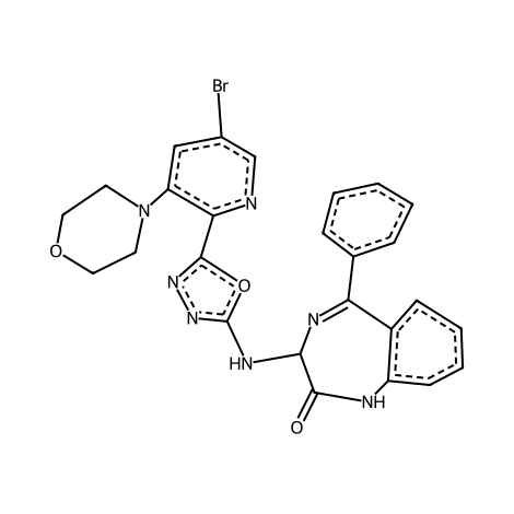 O=C1Nc2ccccc2C(c2ccccc2)=NC1Nc1nnc(-c2ncc(Br)cc2N2CCOCC2)o1